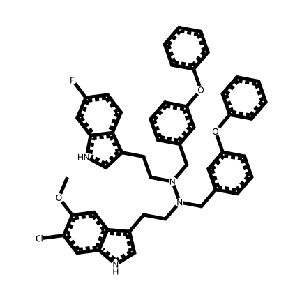 COc1cc2c(CCN(Cc3cccc(Oc4ccccc4)c3)N(CCc3c[nH]c4cc(F)ccc34)Cc3cccc(Oc4ccccc4)c3)c[nH]c2cc1Cl